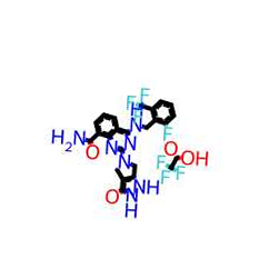 NC(=O)c1cccc2c(NCc3c(F)cccc3C(F)(F)F)nc(N3Cc4[nH][nH]c(=O)c4C3)nc12.O=C(O)C(F)(F)F